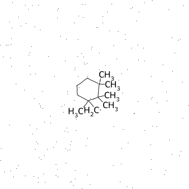 [CH2]C1(C)CCCC(C)(C)C1(C)C